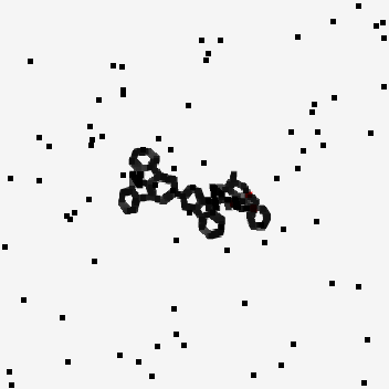 C\C1=C(c2ccccc2)/N=C(n2c3ccccc3c3cc(-c4cc5c6ccccc6n6c7ccccc7c(c4)c56)ccc32)\N=C(\c2ccccc2)CC1